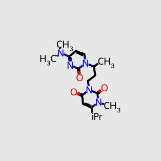 CC(C)c1cc(=O)n(CCC(C)n2ccc(N(C)C)nc2=O)c(=O)n1C